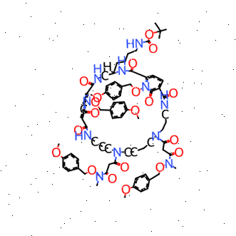 COc1ccc(CON(C)C(=O)CC(=O)N2CCCCN(C(=O)CC(=O)N(C)OCc3ccc(OC)cc3)CCCNC(=O)c3ccc(n(OCc4ccc(OC)cc4)c3=O)C(=O)N[C@@H](CCCCNC(=O)OC(C)(C)C)CNC(=O)c3ccc(c(=O)n3OCc3ccc(OC)cc3)C(=O)NCCC2)cc1